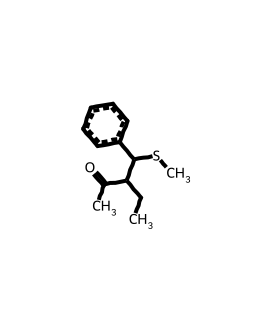 CCC(C(C)=O)C(SC)c1ccccc1